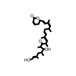 CC(=C/C(C)C/C=C/C(C)=C/C(C)C(=O)C(C)C(O)C(C)C/C(C)=C/CO)/C=C/C1CC=CC(=O)O1